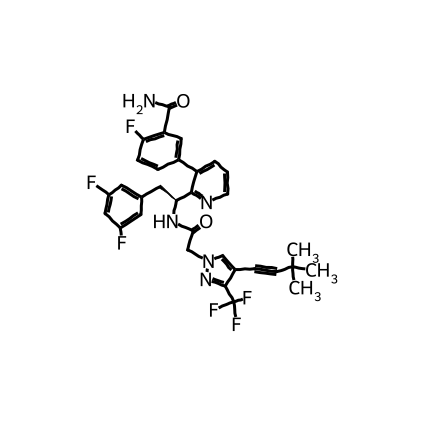 CC(C)(C)C#Cc1cn(CC(=O)N[C@@H](Cc2cc(F)cc(F)c2)c2ncccc2-c2ccc(F)c(C(N)=O)c2)nc1C(F)(F)F